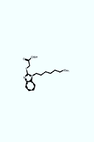 CCCCCCCCCCCCCCCCn1c(SCC(=O)OC)nc2ccccc21